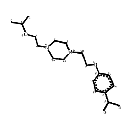 CC(C)OCCN1CCN(CCOc2ccc(C(C)C)cc2)CC1